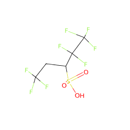 O=S(=O)(O)C(CC(F)(F)F)C(F)(F)C(F)(F)F